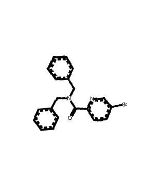 O=C(c1ccc(Br)cn1)N(Cc1ccccc1)Cc1ccccc1